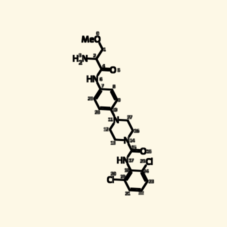 COCC(N)C(=O)Nc1ccc(N2CCN(C(=O)Nc3c(Cl)cccc3Cl)CC2)cc1